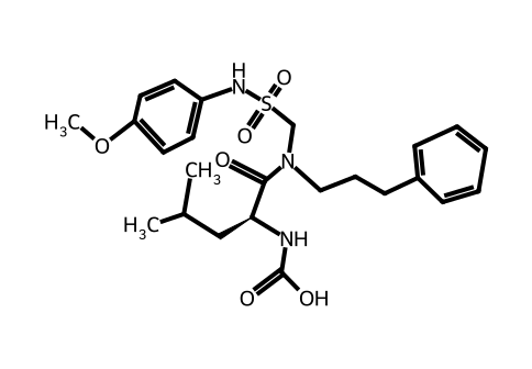 COc1ccc(NS(=O)(=O)CN(CCCc2ccccc2)C(=O)[C@H](CC(C)C)NC(=O)O)cc1